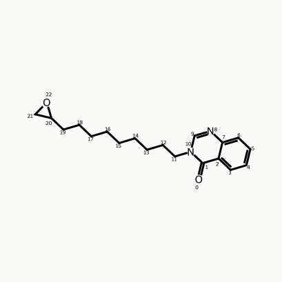 O=c1c2ccccc2ncn1CCCCCCCCCC1CO1